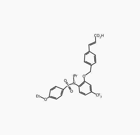 CCOc1ccc(S(=O)(=O)N(c2ccc(C(F)(F)F)cc2OCc2ccc(C=CC(=O)O)cc2)C(C)C)cc1